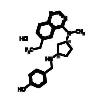 CN(c1ncnc2ccc(CC(F)(F)F)cc12)[C@@H]1CC[C@H](NCc2ccc(O)cc2)C1.Cl